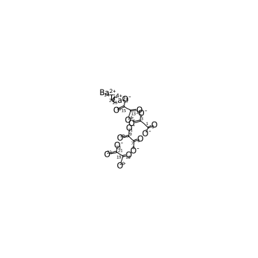 O=C([O-])C(=O)[O-].O=C([O-])C(=O)[O-].O=C([O-])C(=O)[O-].O=C([O-])C(=O)[O-].[Ba+2].[Ca+2].[Ti+4]